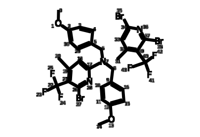 COc1ccc(CN(Cc2ccc(OC)cc2)c2cc(C)c(C(F)(F)F)c(Br)n2)cc1.Cc1cc(Br)nc(Br)c1C(F)(F)F